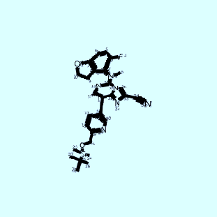 CN(c1c(F)ccc2c1CCO2)c1ncc(-c2ccc(CO[Si](C)(C)C(C)(C)C)nc2)c2nc(C#N)cn12